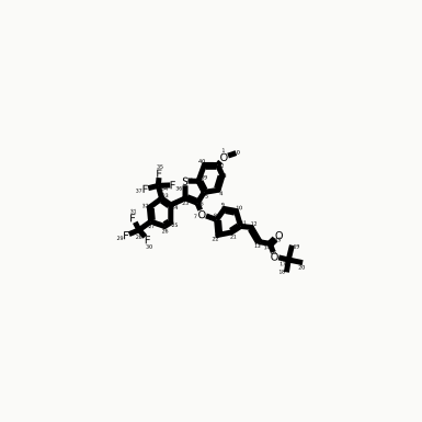 COc1ccc2c(Oc3ccc(/C=C/C(=O)OC(C)(C)C)cc3)c(-c3ccc(C(F)(F)F)cc3C(F)(F)F)sc2c1